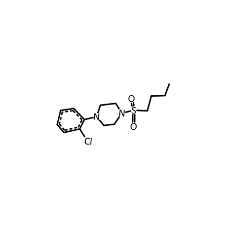 CCCCS(=O)(=O)N1CCN(c2ccccc2Cl)CC1